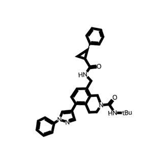 CC(C)(C)NC(=O)N1CCc2c(-c3cnn(-c4ccccc4)c3)ccc(CNC(=O)C3C[C@@H]3c3ccccc3)c2C1